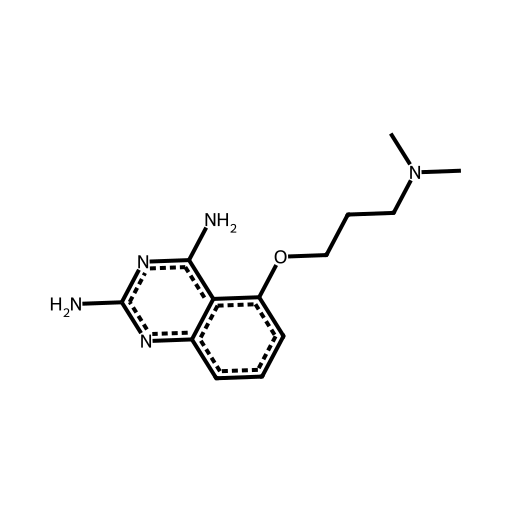 CN(C)CCCOc1cccc2nc(N)nc(N)c12